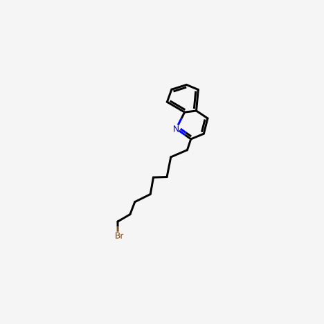 BrCCCCCCCCc1ccc2ccccc2n1